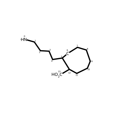 [NH]CCCCC1CCCCCCC1C(=O)O